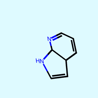 C1=CC2C=CNC2N=C1